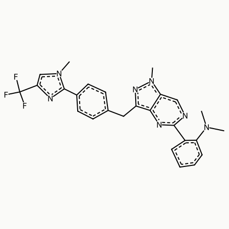 CN(C)c1ccccc1-c1ncc2c(n1)c(Cc1ccc(-c3nc(C(F)(F)F)cn3C)cc1)nn2C